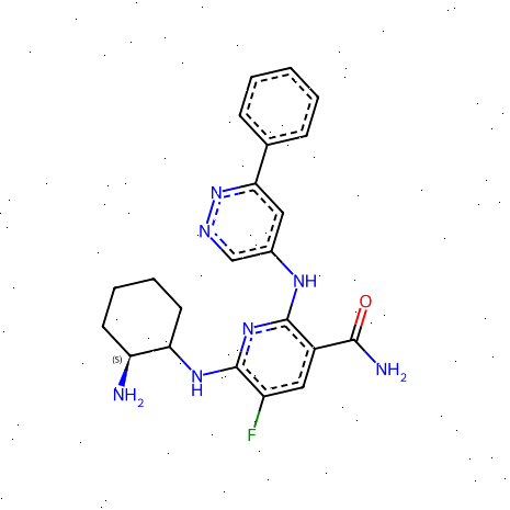 NC(=O)c1cc(F)c(NC2CCCC[C@@H]2N)nc1Nc1cnnc(-c2ccccc2)c1